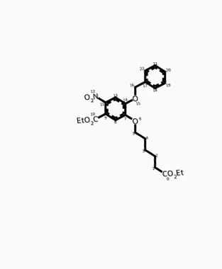 CCOC(=O)CCCCCOc1cc(C(=O)OCC)c([N+](=O)[O-])cc1OCc1ccccc1